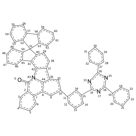 O=c1c2ccccc2c2cc(-c3cccc(-c4nc(-c5ccccc5)nc(-c5ccccc5)n4)c3)cc3c4ccc5c(c4n1c23)-c1ccccc1C51c2ccccc2-c2ccccc21